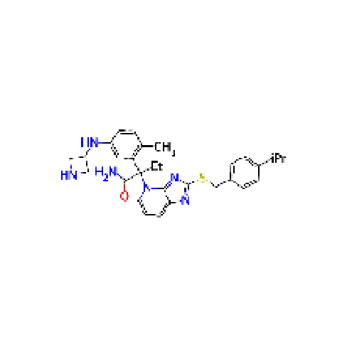 CCC(C(N)=O)(c1cc(NC2CNC2)ccc1C)n1cccc2nc(SCc3ccc(C(C)C)cc3)nc1-2